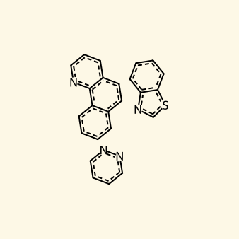 c1ccc2c(c1)ccc1cccnc12.c1ccc2scnc2c1.c1ccnnc1